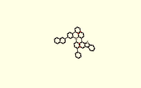 c1ccc(-c2ccc(N(c3cc(-c4ccc5ccccc5c4)ccc3-c3ccccc3)c3ccccc3-c3cccc4c3sc3ccccc34)cc2)cc1